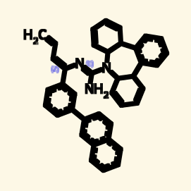 C=C/C=C(\N=C(/N)N1C2C=CC=CC2c2ccccc2C2C=CC=CC21)c1cccc(-c2ccc3ccccc3c2)c1